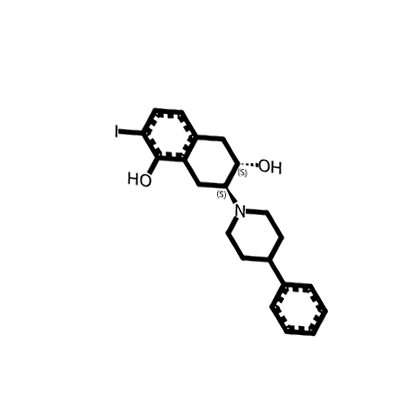 Oc1c(I)ccc2c1C[C@H](N1CCC(c3ccccc3)CC1)[C@@H](O)C2